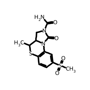 CC1Sc2ccc(S(C)(=O)=O)cc2N2C(=O)N(C(N)=O)CC12